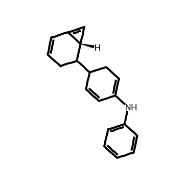 C1=CC2=C[C@@H]2C(C2C=CC(Nc3ccccc3)=CC2)C1